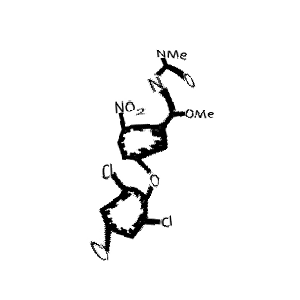 CNC(=O)N=C(OC)c1cc(Oc2c(Cl)cc(Cl)cc2Cl)ccc1[N+](=O)[O-]